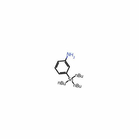 CCC[CH2][Sn]([CH2]CCC)([CH2]CCC)[c]1cccc(N)c1